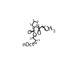 C=CC(=O)N1CCCC1C(=O)OCCCCCCCCCC